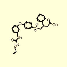 CC/N=N/C(=O)Nc1cccc(Oc2ccc(S(=O)(=O)CC(CC(=O)O)c3ccccc3)cc2)c1